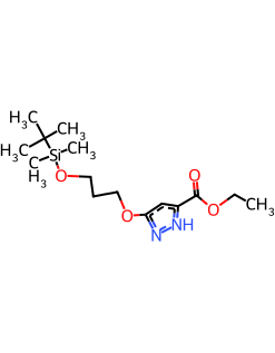 CCOC(=O)c1cc(OCCCO[Si](C)(C)C(C)(C)C)n[nH]1